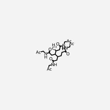 CC(=O)CNC(=O)CCC(CC(=O)NCC(C)=O)C(CC(=O)NCC(C)=O)C(C)CC(=O)NCC(C)=O